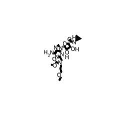 CCOCCCN(Cc1nc(N)c2ncn([C@@H]3O[C@H](C(=O)NC4CC4)C(O)C3O)c2n1)C(=O)OC